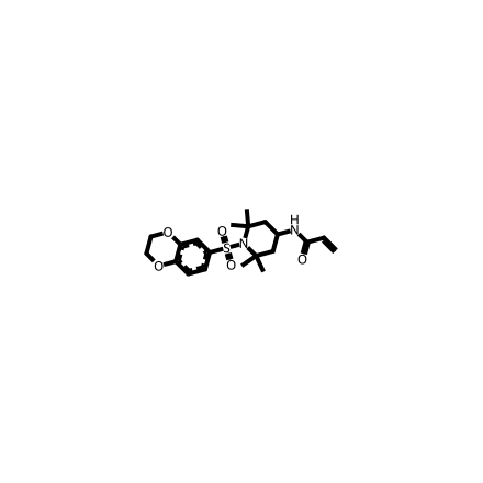 C=CC(=O)NC1CC(C)(C)N(S(=O)(=O)c2ccc3c(c2)OCCO3)C(C)(C)C1